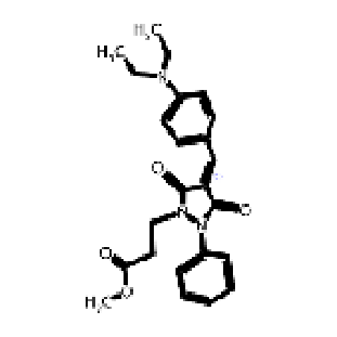 CCN(CC)c1ccc(/C=C2\C(=O)N(CCC(=O)OC)N(c3ccccc3)C2=O)cc1